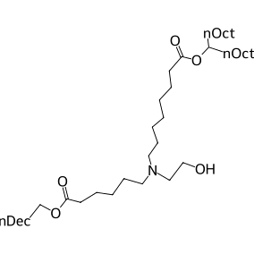 CCCCCCCCCCCOC(=O)CCCCCN(CCO)CCCCCCCC(=O)OC(CCCCCCCC)CCCCCCCC